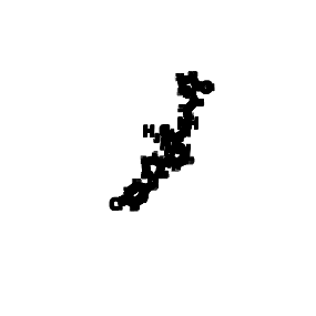 Cc1nn2c(C3CCCN(Cc4ccc(Cl)cc4)C3)ccnc2c1CNCCCN1CCCC1=O